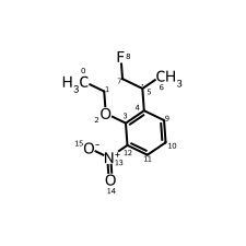 CCOc1c([C](C)CF)cccc1[N+](=O)[O-]